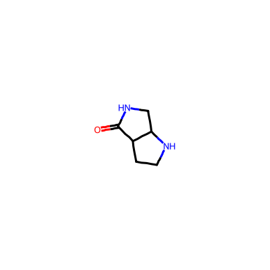 O=C1NCC2NCCC12